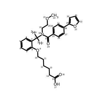 [2H]C([2H])(c1ccccc1OCCCCCC(=O)O)N(CCOC)C(=O)c1ccc(-c2ccco2)cc1